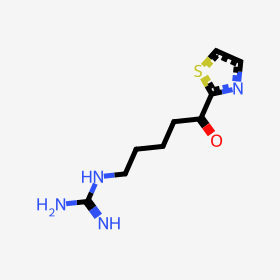 N=C(N)NCCCCC(=O)c1nccs1